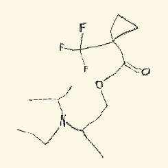 CCN(C(C)C)C(C)COC(=O)C1(C(F)(F)F)CC1